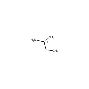 CC[SiH](N)N